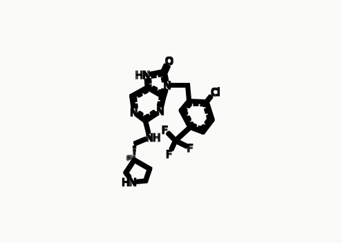 O=c1[nH]c2cnc(NC[C@@H]3CCNC3)nc2n1Cc1cc(C(F)(F)F)ccc1Cl